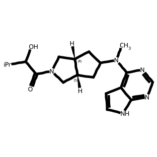 CC(C)C(O)C(=O)N1C[C@H]2CC(N(C)c3ncnc4[nH]ccc34)C[C@H]2C1